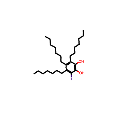 CCCCCCCc1c(O)c(O)c(I)c(CCCCCCC)c1CCCCCCC